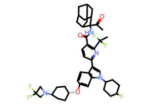 CC(=O)C1(NC(=O)c2ccc(-c3cn(C4CCC(F)CC4)c4cc(O[C@H]5CC[C@H](N6CC(F)(F)C6)CC5)ccc34)nc2C(C)(F)F)C2CC3CC(C2)CC1C3